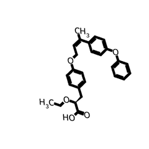 CCO[C@@H](Cc1ccc(OCC=C(C)c2ccc(Oc3ccccc3)cc2)cc1)C(=O)O